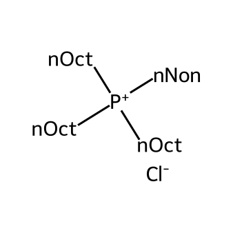 CCCCCCCCC[P+](CCCCCCCC)(CCCCCCCC)CCCCCCCC.[Cl-]